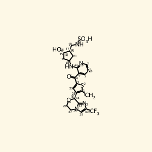 Cc1sc(C(=O)c2cncnc2N[C@H]2C[C@H](O)[C@@H]([CH]NS(=O)(=O)O)C2)cc1[C@@H]1OCCn2cc(C(F)(F)F)nc21